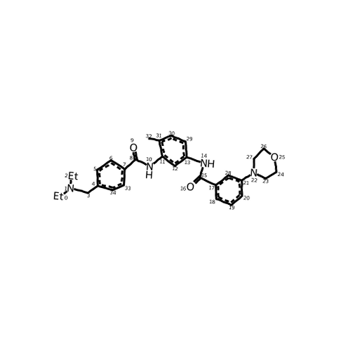 CCN(CC)Cc1ccc(C(=O)Nc2cc(NC(=O)c3cccc(N4CCOCC4)c3)ccc2C)cc1